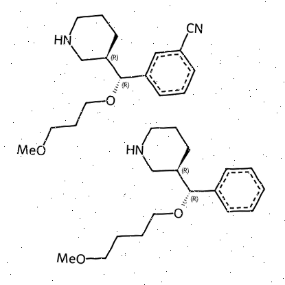 COCCCCO[C@@H](c1ccccc1)[C@@H]1CCCNC1.COCCCO[C@@H](c1cccc(C#N)c1)[C@@H]1CCCNC1